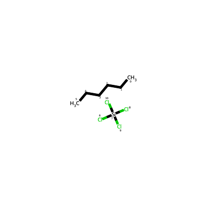 CCCCCC.Cl[Si](Cl)(Cl)Cl